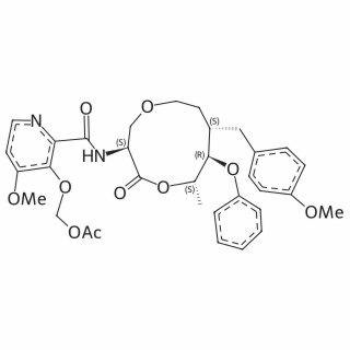 COc1ccc(C[C@H]2CCOC[C@H](NC(=O)c3nccc(OC)c3OCOC(C)=O)C(=O)O[C@@H](C)[C@@H]2Oc2ccccc2)cc1